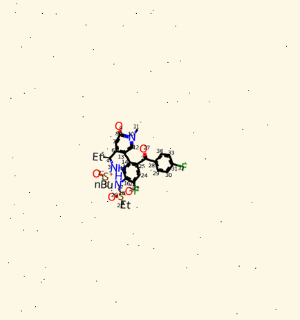 CCCC[S@+]([O-])N[C@@H](CC)c1cc(=O)n(C)cc1-c1cc(NS(=O)(=O)CC)c(F)cc1C(=O)c1ccc(F)cc1